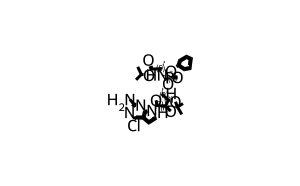 CC(C)OC(=O)[C@H](C)N[P@](=O)(OC[C@H]1O[C@@H](n2ccc3c(Cl)nc(N)nc32)[C@@H]2OC(C)(C)O[C@@H]21)Oc1ccccc1